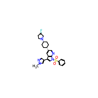 Cn1cc(-c2cn(S(=O)(=O)c3ccccc3)c3ncc([C@H]4CC[C@@H](N5CC[C@@H](F)C5)CC4)cc23)cn1